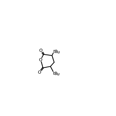 CC(C)(C)C1CC(C(C)(C)C)C(=O)OC1=O